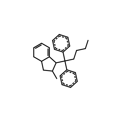 CCCCC(c1ccccc1)(c1ccccc1)C1C2=CC=CCC2CC1C